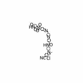 C[C@H]1Cc2c(ccc(C#N)c2Cl)N1[C@H]1CC[C@H](NC(=O)c2ccc(N3CCC(CN4Cc5cc6c(cc5C4)C(=O)N(C4CCC(=O)NC4=O)C6=O)CC3)cc2)CC1